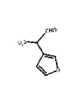 O=[C]C(c1ccoc1)S(=O)(=O)O